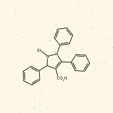 CCN1C(c2ccccc2)C(C(=O)O)=C(c2ccccc2)N1c1ccccc1